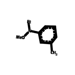 CCN(OC)c1cccc(C)c1